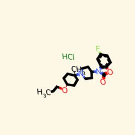 CCCO[C@H]1CC[C@](C)(N2CCC(n3c(=O)oc4ccc(F)cc43)CC2)CC1.Cl